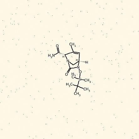 CC1=C[C@@H]2CN(C(=O)N2O[Si](C)(C)C(C)(C)C)[C@@H]1C(N)=O